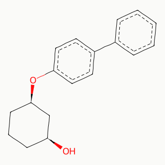 O[C@H]1CCC[C@@H](Oc2ccc(-c3ccccc3)cc2)C1